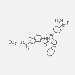 N[C@H](CF)[C@H]1CC[C@H](C(=O)N2CC[C@@H](C3CCCCC3)[C@H]2C(=O)Nc2ccc3oc(C(=O)OCCCO)cc3c2)CC1